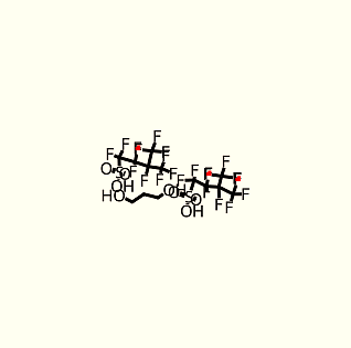 O=S(=O)(O)C(F)(F)C(F)(F)C(F)(C(F)(F)F)C(F)(F)F.O=S(=O)(O)C(F)(F)C(F)(F)C(F)(C(F)(F)F)C(F)(F)F.OCCCO